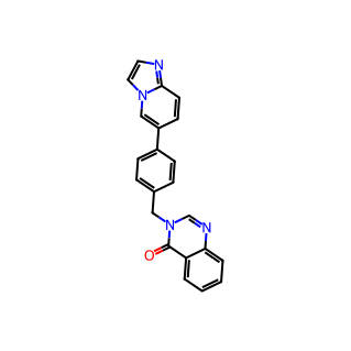 O=c1c2ccccc2ncn1Cc1ccc(-c2ccc3nccn3c2)cc1